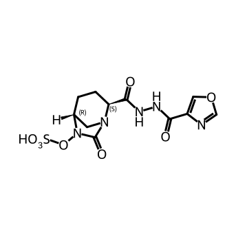 O=C(NNC(=O)[C@@H]1CC[C@@H]2CN1C(=O)N2OS(=O)(=O)O)c1cocn1